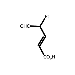 CCC(C=O)/C=C/C(=O)O